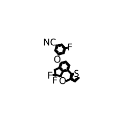 Cc1ccsc1-c1ccc(Oc2cc(F)cc(C#N)c2)c2c1C(=O)C(F)(F)C2